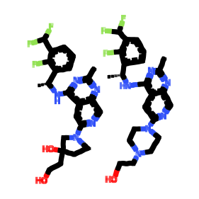 Cc1nc(N[C@H](C)c2cccc(C(F)F)c2F)c2cc(N3CCC(O)(CCO)C3)ncc2n1.Cc1nc(N[C@H](C)c2cccc(C(F)F)c2F)c2cc(N3CCN(CCO)CC3)ncc2n1